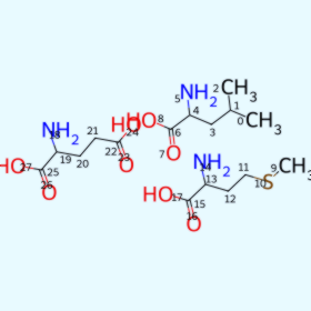 CC(C)CC(N)C(=O)O.CSCCC(N)C(=O)O.NC(CCC(=O)O)C(=O)O